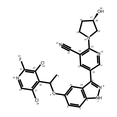 CC(Oc1ccc2[nH]nc(-c3cnc(N4CC[C@@H](O)C4)c(C#N)c3)c2c1)c1c(Cl)cnc(F)c1Cl